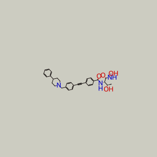 C[C@@H](O)[C@H](NC(=O)c1ccc(C#Cc2ccc(CN3CCC(c4ccccc4)CC3)cc2)cc1)C(=O)NO